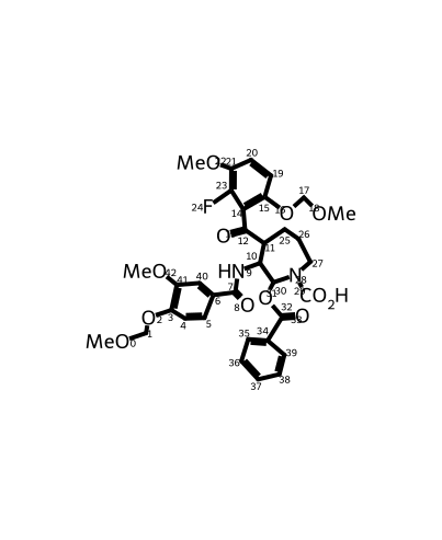 COCOc1ccc(C(=O)NC2C(C(=O)c3c(OCOC)ccc(OC)c3F)CCCN(C(=O)O)C2OC(=O)c2ccccc2)cc1OC